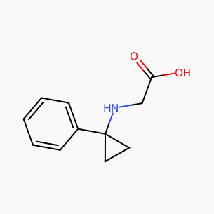 O=C(O)CNC1(c2ccccc2)CC1